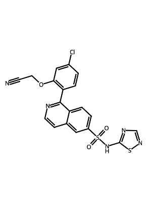 N#CCOc1cc(Cl)ccc1-c1nccc2cc(S(=O)(=O)Nc3ncns3)ccc12